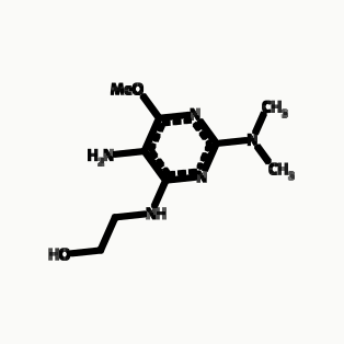 COc1nc(N(C)C)nc(NCCO)c1N